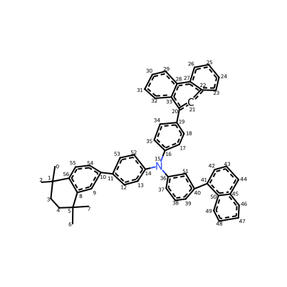 CC1(C)CCC(C)(C)c2cc(-c3ccc(N(c4ccc(-c5cc6ccccc6c6ccccc56)cc4)c4cccc(-c5cccc6ccccc56)c4)cc3)ccc21